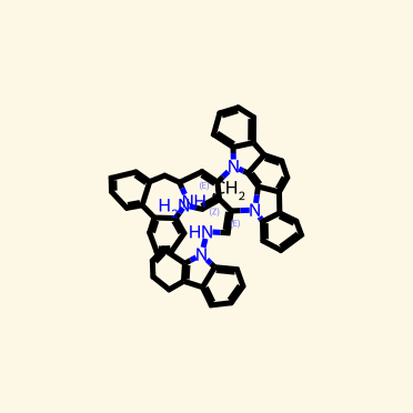 C=C/C(=C\Nn1c2c(c3ccccc31)CCC=C2)n1c2ccccc2c2ccc3c4ccccc4n(C(/C=C\N)=C/C4Cc5ccccc5-c5ccccc5N4)c3c21